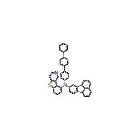 c1ccc(-c2ccc(-c3ccc(N(c4ccc5c(c4)-c4cccc6cccc-5c46)c4cccc5sc6ccncc6c45)cc3)cc2)cc1